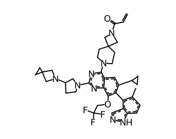 C=CC(=O)N1CC2(CCN(c3nc(N4CCC(N5CC6(CC6)C5)C4)nc4c(OCC(F)(F)F)c(-c5c(C)ccc6[nH]ncc56)c(C5CC5)cc34)CC2)C1